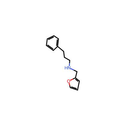 c1ccc(CCCNCc2ccco2)cc1